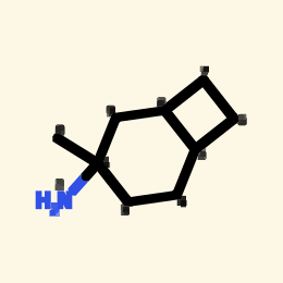 CC1(N)CCC2CCC2C1